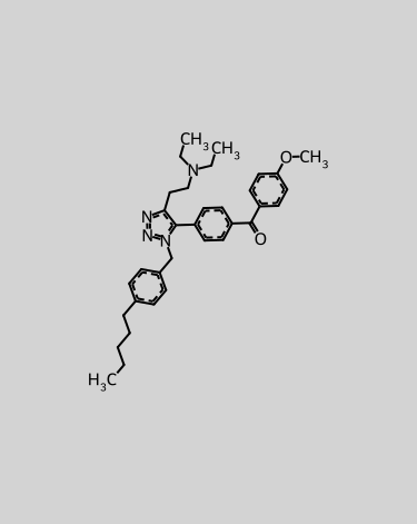 CCCCCc1ccc(Cn2nnc(CCN(CC)CC)c2-c2ccc(C(=O)c3ccc(OC)cc3)cc2)cc1